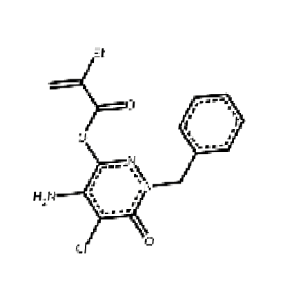 C=C(CC)C(=O)Oc1nn(Cc2ccccc2)c(=O)c(Cl)c1N